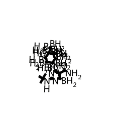 Bc1nc(NC(C)(C)C)nc(NC2(B)C(B)(B)C(B)(B)C(B)(C(B)(B)B)C(B)(O)C2(B)B)c1C(N)=O